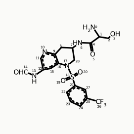 NC(CO)C(=O)NC1Cc2ncc(NC=O)cc2N(S(=O)(=O)c2cccc(C(F)(F)F)c2)C1